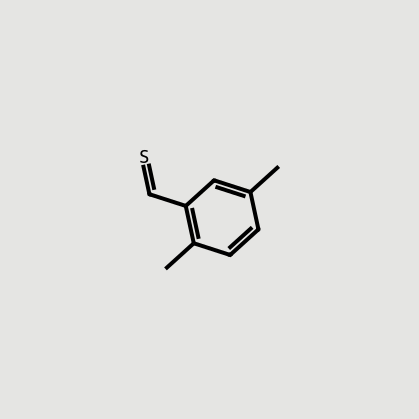 Cc1ccc(C)c(C=S)c1